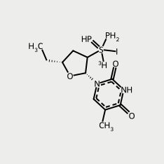 [3H]S(=P)(P)(I)C1C[C@@H](CC)O[C@H]1n1cc(C)c(=O)[nH]c1=O